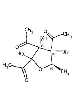 CC(=O)C1(O)O[C@H](C)[C@](O)(C(C)=O)[C@]1(O)C(C)=O